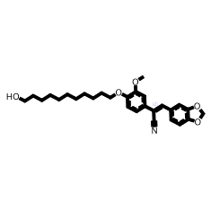 COc1cc(/C(C#N)=C/c2ccc3c(c2)OCO3)ccc1OCCCCCCCCCCCO